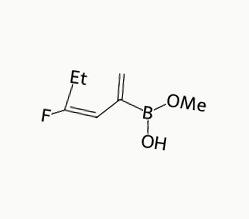 C=C(/C=C(/F)CC)B(O)OC